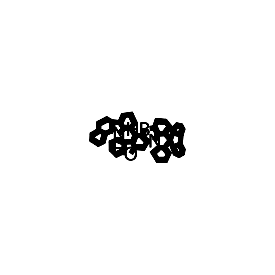 B1c2cccc3c2N(c2ccccc2C32c3ccccc3-c3ccccc32)c2cc3oc4ccccc4c3c(-c3cccc4c3[nH]c3c5ccccc5ccc43)c21